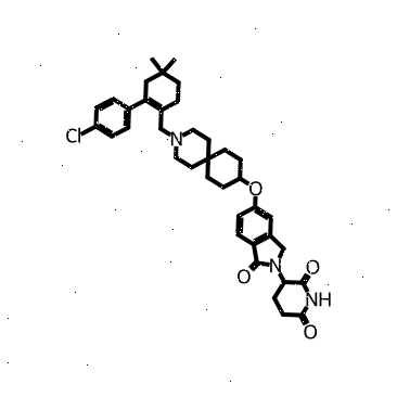 CC1(C)CCC(CN2CCC3(CCC(Oc4ccc5c(c4)CN(C4CCC(=O)NC4=O)C5=O)CC3)CC2)=C(c2ccc(Cl)cc2)C1